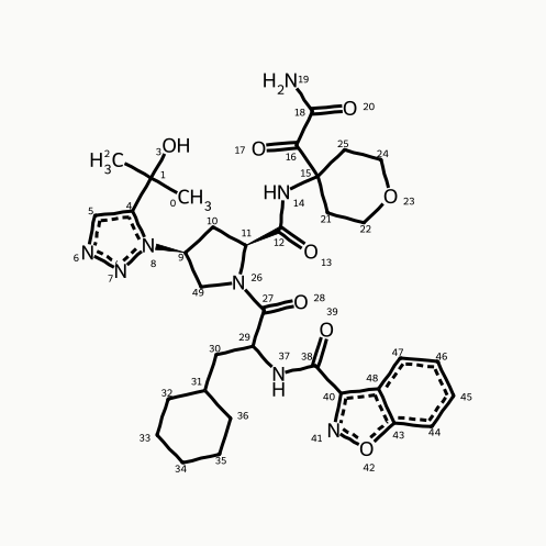 CC(C)(O)c1cnnn1[C@H]1C[C@@H](C(=O)NC2(C(=O)C(N)=O)CCOCC2)N(C(=O)C(CC2CCCCC2)NC(=O)c2noc3ccccc23)C1